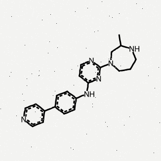 CC1CN(c2nccc(Nc3ccc(-c4ccncc4)cc3)n2)CCCN1